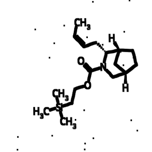 C/C=C\C[C@@H]1[C@@H]2CC[C@@H](C2)CN1C(=O)OCC[Si](C)(C)C